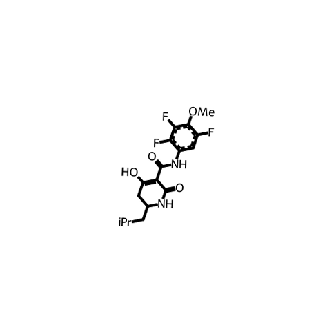 COc1c(F)cc(NC(=O)C2=C(O)CC(CC(C)C)NC2=O)c(F)c1F